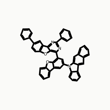 c1ccc(-c2ccc3oc4c(-c5cc(-n6c7ccccc7c7cc8ccccc8cc76)cc6c5oc5ccccc56)nc(-c5ccccc5)nc4c3c2)cc1